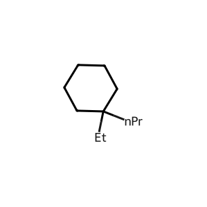 CCCC1(CC)CCCCC1